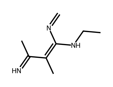 C=N/C(NCC)=C(/C)C(C)=N